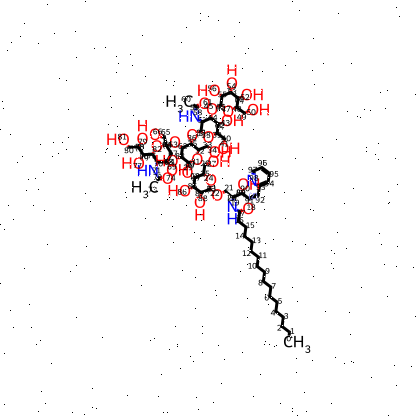 CCCCCCCCCCCCCCCCCC(=O)N[C@@H](CO[C@@H]1OC(CO)[C@@H](O[C@@H]2OC(CO)C(O[C@@H]3OC(CO)[C@H](O)C(O[C@@H]4OC(CO)[C@H](O)C(O)C4O)C3NC(C)=O)C(O[C@]3(C=O)CC(O)C(NC(C)=O)C([C@H](O)[C@H](O)CO)O3)C2O)C(O)C1O)[C@H](O)/C=C\c1ccccn1